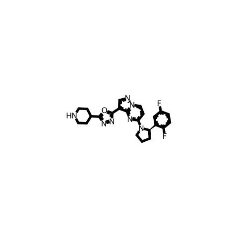 Fc1ccc(F)c([C@H]2CCCN2c2ccn3ncc(-c4nnc(C5CCNCC5)o4)c3n2)c1